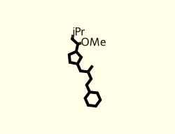 COC(CC(C)C)C1CCC(CC(C)CCC2CCCCC2)C1